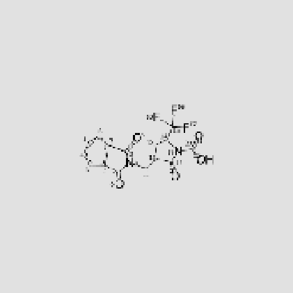 O=C1c2ccccc2C(=O)N1CC1CC(C(F)(F)F)N(C(=O)O)C1=O